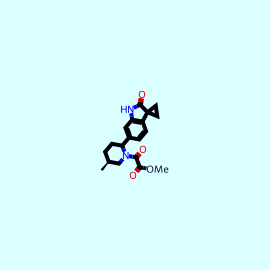 COC(=O)C(=O)N1C[C@@H](C)CCC1c1ccc2c(c1)NC(=O)C21CC1